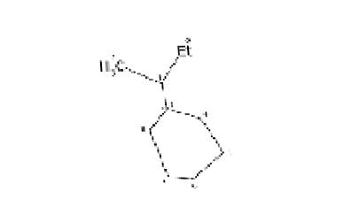 CCC(C)[C]1CCCCC1